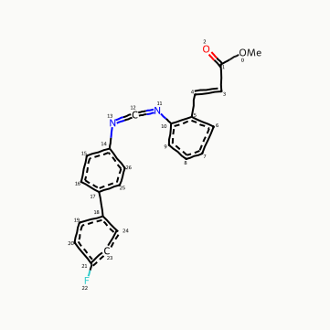 COC(=O)/C=C/c1ccccc1N=C=Nc1ccc(-c2ccc(F)cc2)cc1